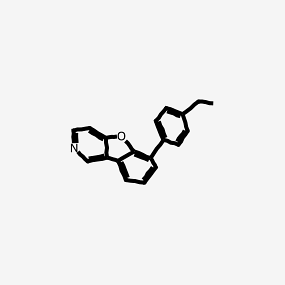 CCc1ccc(-c2cccc3c2oc2ccncc23)cc1